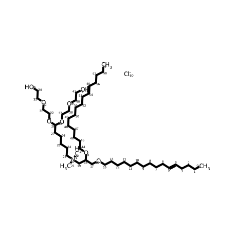 CCCCC=CCCCCCCCCCCOCC(C[N+](C)(C)CCCCCC(OCCOCCO)OCCOCCO)OCCCCCCCCCCC=CCCCC.[Cl-]